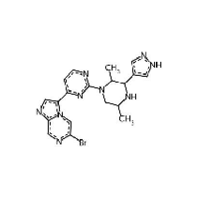 CC1CN(c2nccc(-c3cnc4cnc(Br)cn34)n2)C(C)C(c2cn[nH]c2)N1